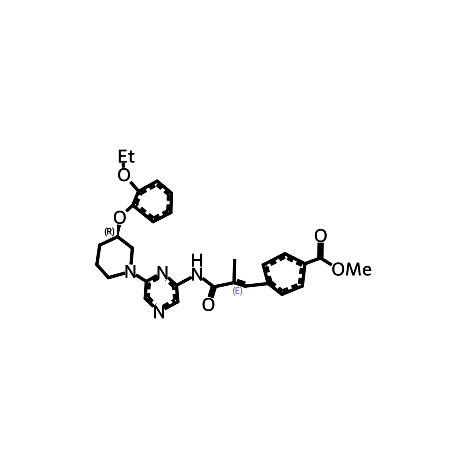 CCOc1ccccc1O[C@@H]1CCCN(c2cncc(NC(=O)/C(C)=C/c3ccc(C(=O)OC)cc3)n2)C1